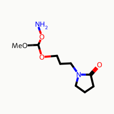 COC(ON)OCCCN1CCCC1=O